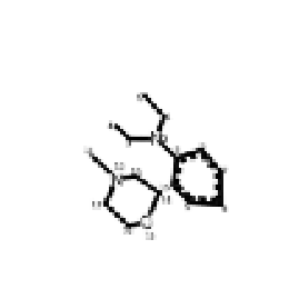 CCN(CC)c1ccccc1.CN1CCOCC1